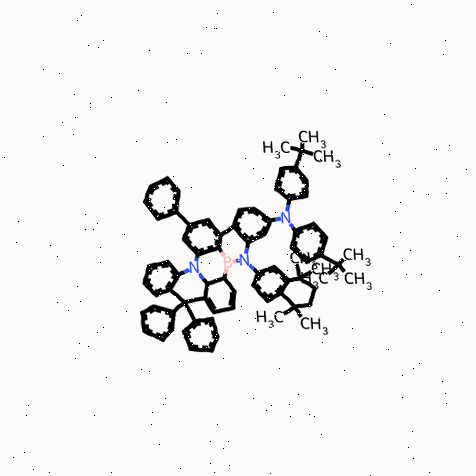 CC(C)(C)c1ccc(N(c2ccc(C(C)(C)C)cc2)c2ccc3c(c2)N(c2ccc4c(c2)C(C)(C)CCC4(C)C)B2c4c-3cc(-c3ccccc3)cc4N3c4ccccc4C(c4ccccc4)(c4ccccc4)C4=CC=CC2C43)cc1